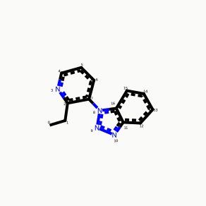 CCc1ncccc1-n1nnc2ccccc21